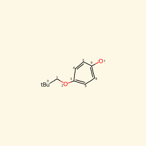 CC(C)(C)COc1ccc([O])cc1